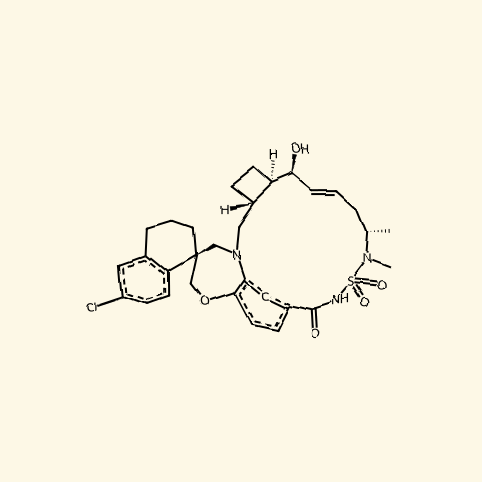 C[C@H]1C/C=C/[C@H](O)[C@@H]2CC[C@H]2CN2C[C@@]3(CCCc4cc(Cl)ccc43)COc3ccc(cc32)C(=O)NS(=O)(=O)N1C